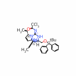 C=C[C@@H]1C=CC23NC(=C)N[C@H]2[C@H](CO[Si](c2ccccc2)(c2ccccc2)C(C)(C)C)N/C(=N/C(=O)C(Cl)(Cl)Cl)N13